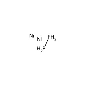 PP.[Ni].[Ni]